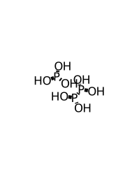 OP(O)O.OP(O)P(O)O